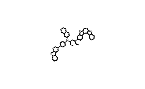 C=C/C(=C\C(=C/C)N(c1ccc(-c2ccc3sc4ccccc4c3c2)cc1)c1ccc2ccccc2c1)c1ccc2c(c1)sc1ccc3sc4ccccc4c3c12